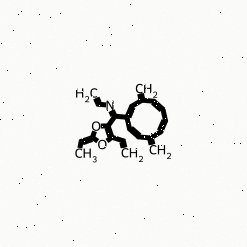 C=C/N=C(\C1=C(C=C)O/C(=C\C)O1)c1ccc(=C)ccccc(=C)c1